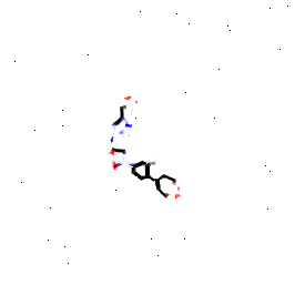 CS(=O)(=O)Cc1cn(C[C@H]2CN(c3ccc(C4=CCS(=O)(=O)CC4)c(F)c3)C(=O)O2)nn1